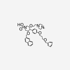 CN1CCN(CCOC2CN(C(=O)O)CC(OCc3ccc4ccccc4c3)C2c2ccc(OCCCOCc3ccccc3)cc2)CC1